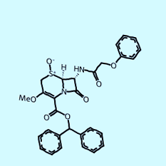 COC1=C(C(=O)OC(c2ccccc2)c2ccccc2)N2C(=O)[C@@H](NC(=O)COc3ccccc3)[C@@H]2[S+]([O-])C1